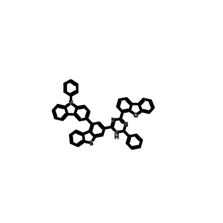 c1ccc(C2N=C(c3cccc4c3oc3ccccc34)N=C(c3cc(-c4ccc5c(c4)c4ccccc4n5-c4ccccc4)c4c(c3)sc3ccccc34)N2)cc1